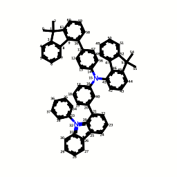 CC1(C)c2ccccc2-c2c(-c3ccc(N(c4cccc(-c5cccc6c7ccccc7n(-c7ccccc7)c56)c4)c4cccc5c4-c4ccccc4C5(C)C)cc3)cccc21